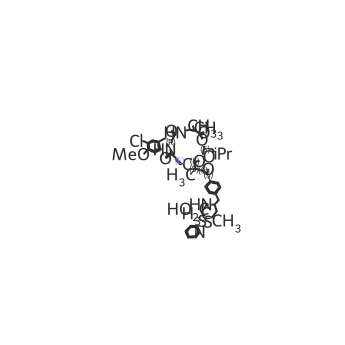 COc1ccc(C[C@H]2NC(=O)/C=C/C[C@@H]([C@H](C)[C@@H]3O[C@H]3c3ccc(CC(CC(C)(C)SSc4ccccn4)NC(=O)O)cc3)OC(=O)[C@H](CC(C)C)OC(=O)C(C)(C)CNC2=O)cc1Cl